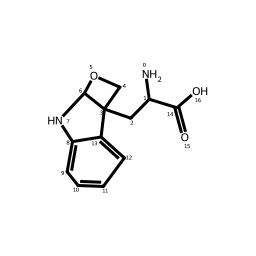 NC(CC12COC1Nc1ccccc12)C(=O)O